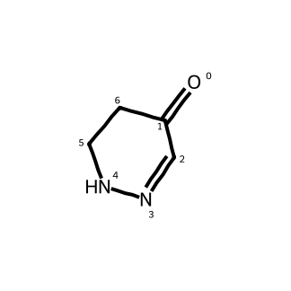 O=C1C=NNCC1